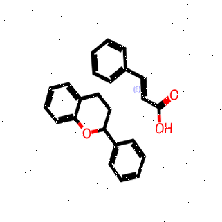 O=C(O)/C=C/c1ccccc1.c1ccc(C2CCc3ccccc3O2)cc1